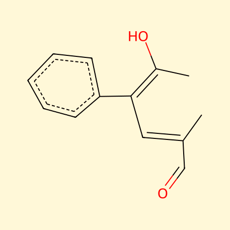 C/C(O)=C(\C=C(/C)C=O)c1ccccc1